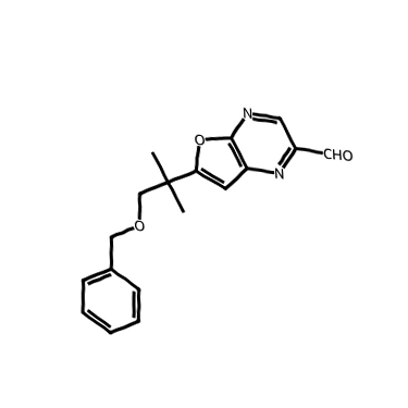 CC(C)(COCc1ccccc1)c1cc2nc(C=O)cnc2o1